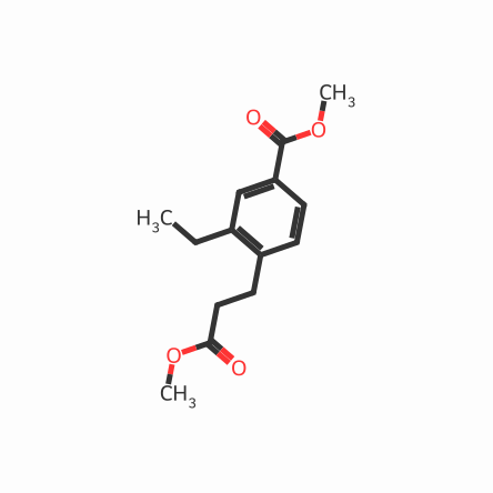 CCc1cc(C(=O)OC)ccc1CCC(=O)OC